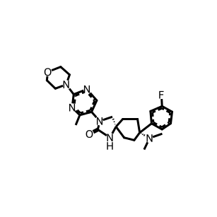 Cc1nc(N2CCOCC2)ncc1N1C[C@]2(CC[C@@](c3cccc(F)c3)(N(C)C)CC2)NC1=O